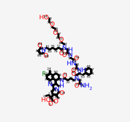 CC[C@@]1(O)C(=O)OCc2c1cc1n(c2=O)Cc2c-1nc1cc(F)c(C)c3c1c2[C@@H](NC(=O)CCCN(CC(N)=O)C(=O)[C@H](Cc1ccccc1)NC(=O)CNC(=O)CNC(=O)CN(CCOCCOCCOCCO)C(=O)CCCCCN1C(=O)C=CC1=O)CC3